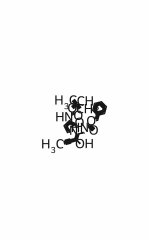 CC#C[C@H](O)[C@H](CNC(=O)OCc1ccccc1)N1CC[C@H](NC(=O)OC(C)(C)C)C1=O